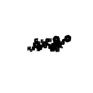 C[C@H](NP(=O)(Oc1ccccc1)OP(=O)(O)OC[C@H]1O[C@@H](n2cnc3c(N)nc(Cl)nc32)[C@H](F)C1O)C(=O)OCc1ccccc1